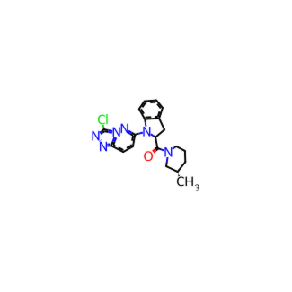 C[C@H]1CCCN(C(=O)C2Cc3ccccc3N2c2ccc3nnc(Cl)n3n2)C1